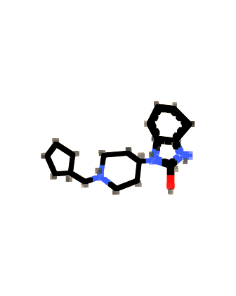 O=c1[nH]c2ccccc2n1C1CCN(CC2CCCC2)CC1